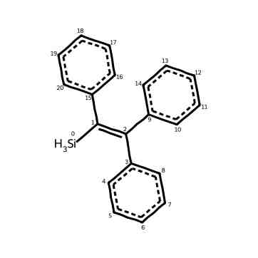 [SiH3]C(=C(c1ccccc1)c1ccccc1)c1ccccc1